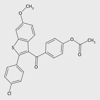 COc1ccc2c(C(=O)c3ccc(OC(C)=O)cc3)c(-c3ccc(Cl)cc3)sc2c1